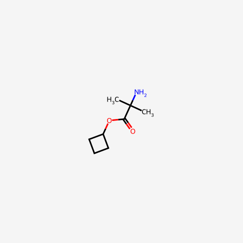 CC(C)(N)C(=O)OC1CCC1